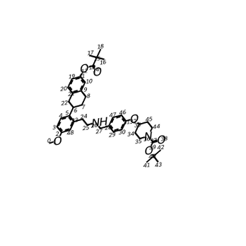 COc1ccc(C2CCc3cc(OC(=O)C(C)(C)C)ccc3C2)c(CCNCc2ccc(OC3CCN(C(=O)OC(C)(C)C)CC3)cc2)c1